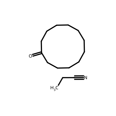 CCC#N.O=C1CCCCCCCCCCC1